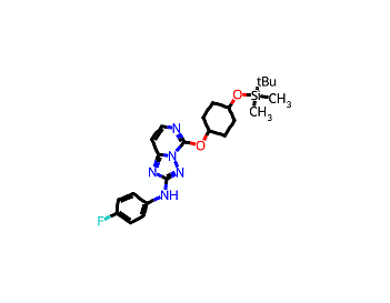 CC(C)(C)[Si](C)(C)OC1CCC(Oc2nccc3nc(Nc4ccc(F)cc4)nn23)CC1